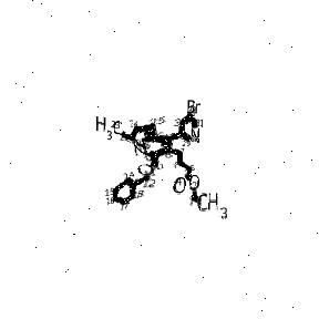 CCOC(=O)CCCc1c(COCC2CCCCC2)nn2c(CC)ccc2c1-c1cncc(Br)c1